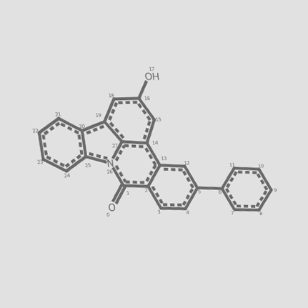 O=c1c2ccc(-c3ccccc3)cc2c2cc(O)cc3c4ccccc4n1c23